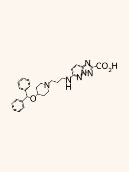 O=C(O)c1nc2ccc(NCCCN3CCC(OC(c4ccccc4)c4ccccc4)CC3)nn2n1